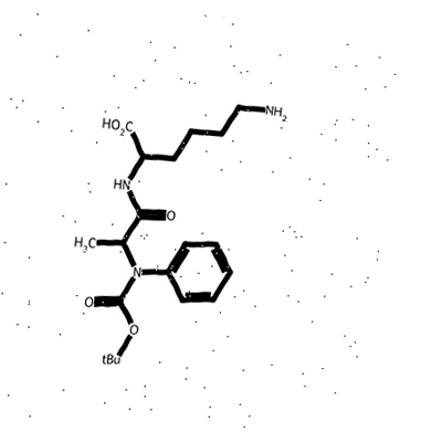 CC(C(=O)NC(CCCCN)C(=O)O)N(C(=O)OC(C)(C)C)c1ccccc1